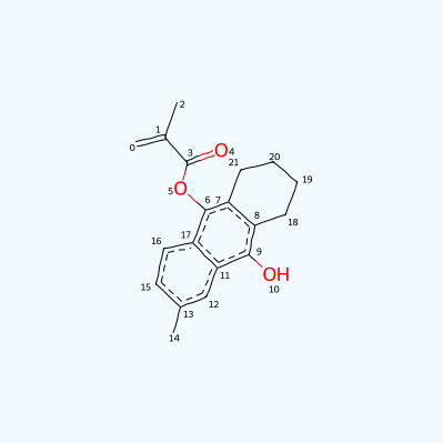 C=C(C)C(=O)Oc1c2c(c(O)c3cc(C)ccc13)CCCC2